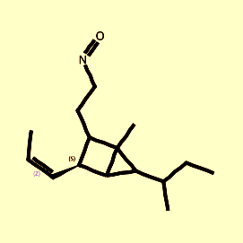 C/C=C\[C@H]1C(CCN=O)C2(C)C(C(C)CC)C12